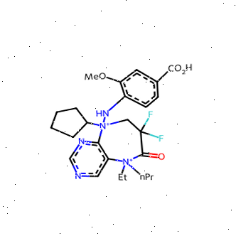 CCC[N+]1(CC)C(=O)C(F)(F)C[N+](Nc2ccc(C(=O)O)cc2OC)(C2CCCC2)c2ncncc21